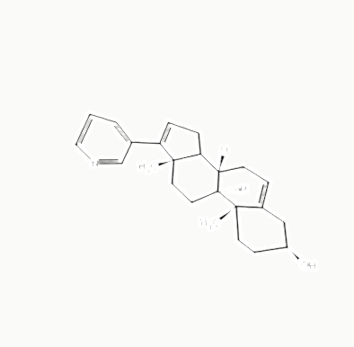 C[C@]12CC[C@H](O)CC1=CC[C@H]1C3CC=C(c4cccnc4)[C@@]3(C)CC[C@@H]12